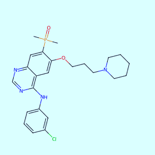 CP(C)(=O)c1cc2ncnc(Nc3cccc(Cl)c3)c2cc1OCCCN1CCCCC1